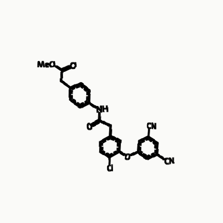 COC(=O)Cc1ccc(NC(=O)Cc2ccc(Cl)c(Oc3cc(C#N)cc(C#N)c3)c2)cc1